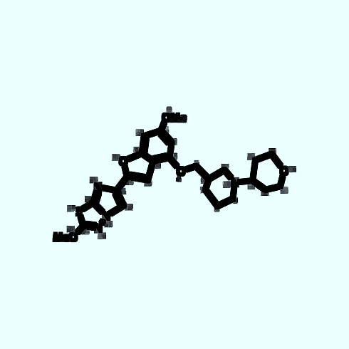 COc1cc(OCC2CCCN(C3CCOCC3)C2)c2cc(-c3cn4nc(OC)sc4n3)oc2c1